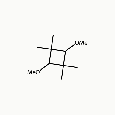 COC1C(C)(C)C(OC)C1(C)C